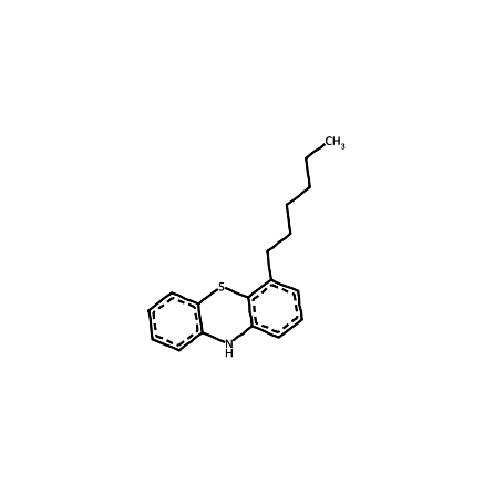 CCCCCCc1cccc2c1Sc1ccccc1N2